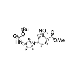 COC(=O)c1ccc(-n2ccc(NC(=O)OC(C)(C)C)c2)cc1[N+](=O)[O-]